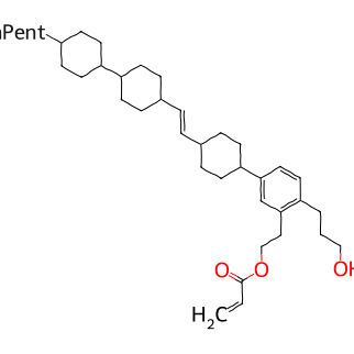 C=CC(=O)OCCc1cc(C2CCC(/C=C/C3CCC(C4CCC(CCCCC)CC4)CC3)CC2)ccc1CCCO